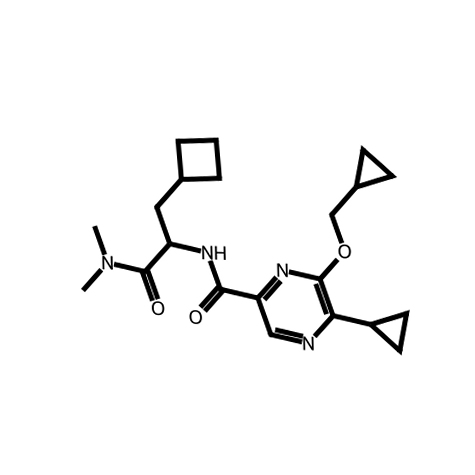 CN(C)C(=O)C(CC1CCC1)NC(=O)c1cnc(C2CC2)c(OCC2CC2)n1